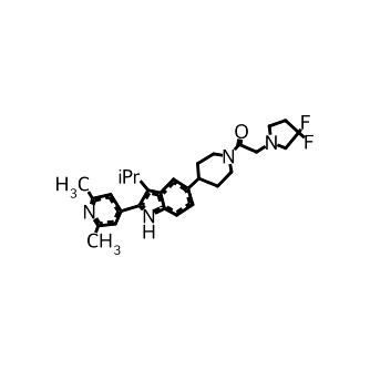 Cc1cc(-c2[nH]c3ccc(C4CCN(C(=O)CN5CCC(F)(F)C5)CC4)cc3c2C(C)C)cc(C)n1